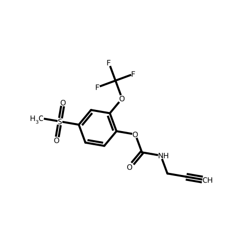 C#CCNC(=O)Oc1ccc(S(C)(=O)=O)cc1OC(F)(F)F